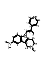 CNc1ccc2c(c1)c1c(n2C=C(C)c2ccncc2)CCN(C)C1